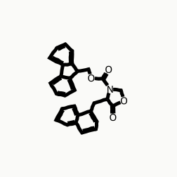 O=C1OCN(C(=O)OCC2c3ccccc3-c3ccccc32)C1Cc1cccc2ccccc12